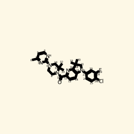 Cc1ccnc(N2CCN(C(=O)c3ccc4c(n3)C(C)(C)CN4c3ccc(Cl)c(F)c3)C(C)(C)C2)n1